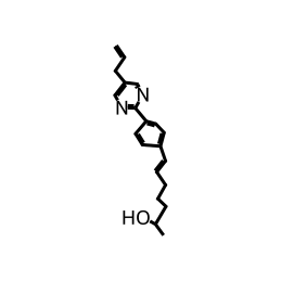 C=CCc1cnc(-c2ccc(C=CCCCC(C)O)cc2)nc1